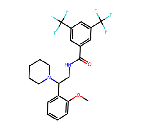 COc1ccccc1C(CNC(=O)c1cc(C(F)(F)F)cc(C(F)(F)F)c1)N1CCCCC1